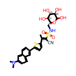 C/C(=C(/C#N)S(=O)(=O)NC[C@H]1OC(O)[C@H](O)[C@@H](O)[C@@H]1O)c1ccc(-c2ccc3cc(N(C)C)ccc3c2)s1